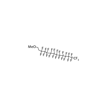 COCCC(F)(F)C(F)(F)C(F)(F)C(F)(F)C(F)(F)C(F)(F)C(F)(F)C(F)(F)C(F)(F)C(F)(F)C(F)(F)C(F)(F)F